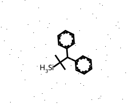 CC(C)([SiH3])C(c1ccccc1)c1ccccc1